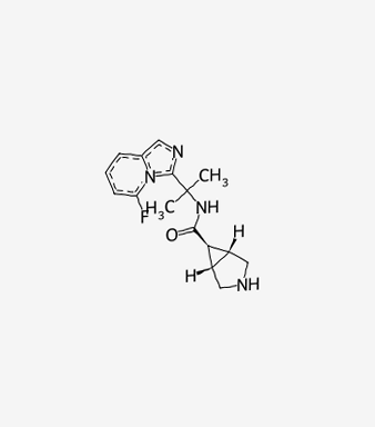 CC(C)(NC(=O)[C@H]1[C@@H]2CNC[C@@H]21)c1ncc2cccc(F)n12